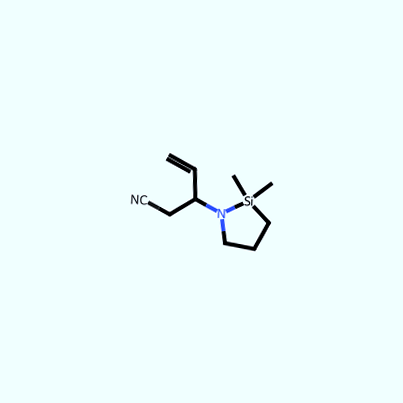 C=CC(CC#N)N1CCC[Si]1(C)C